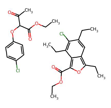 CCOC(=O)C(Oc1ccc(Cl)cc1)C(C)=O.CCOC(=O)c1oc(CC)c2cc(CC)c(Cl)c(CC)c12